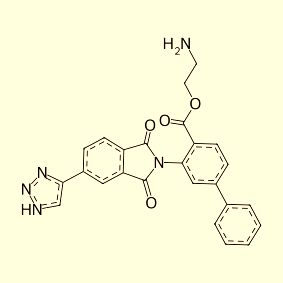 NCCOC(=O)c1ccc(-c2ccccc2)cc1N1C(=O)c2ccc(-c3c[nH]nn3)cc2C1=O